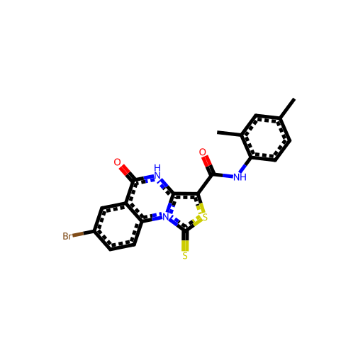 Cc1ccc(NC(=O)c2sc(=S)n3c2[nH]c(=O)c2cc(Br)ccc23)c(C)c1